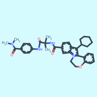 CN(C)C(=O)c1ccc(NC(=O)C(C)(C)NC(=O)c2ccc3c(C4CCCCC4)c4n(c3c2)CCOc2ccccc2-4)cc1